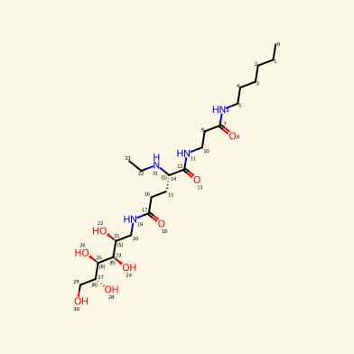 CCCCCCNC(=O)CCNC(=O)[C@H](CCC(=O)NC[C@H](O)[C@@H](O)[C@H](O)[C@H](O)CO)NCC